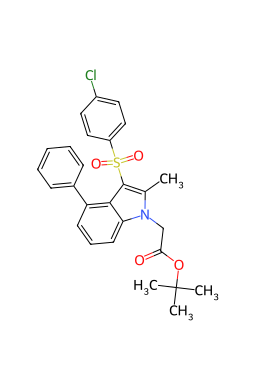 Cc1c(S(=O)(=O)c2ccc(Cl)cc2)c2c(-c3ccccc3)cccc2n1CC(=O)OC(C)(C)C